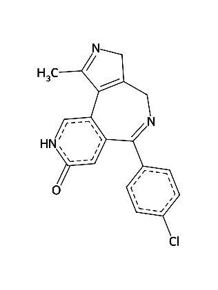 CC1=NCC2=C1c1c[nH]c(=O)cc1C(c1ccc(Cl)cc1)=NC2